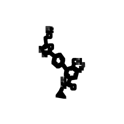 CCOCc1nnc(-c2ccc(-c3cc(C(=O)NC4CC4)cc(F)c3C)cc2)o1